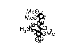 COc1cccc(CC(=O)CC(C)c2c(CCN(C)C)cc3c(c2OC)OCO3)c1OC